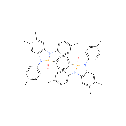 Cc1ccc(N2c3cc(C)c(C)cc3N(c3ccc(C)cc3)P2(=O)c2ccc(P3(=O)N(c4ccc(C)cc4)c4cc(C)c(C)cc4N3c3ccc(C)cc3)cc2)cc1